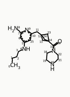 CCCCNc1cc(N)nc(CC23CC(C(=O)N4CCNCC4)(C2)C3)c1